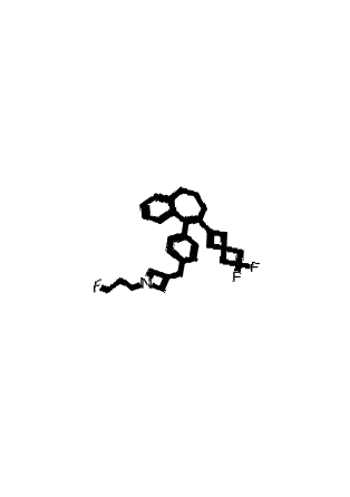 FCCCN1CC(Cc2ccc(C3=C(C4=CC5(C4)CC(F)(F)C5)CCCc4ccccc43)cc2)C1